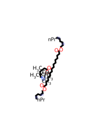 CCC/C=C\C/C=C\COC(=O)CCCCCCCC(CCCCCCCC(=O)OC/C=C\C/C=C\CCC)OC(=O)CC(C)(C)CC(C)(C)CN(C)C